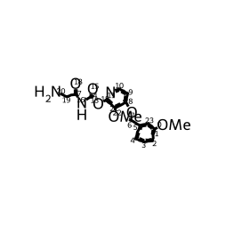 COc1cccc(COc2ccnc(OC(=O)NC(=O)CN)c2OC)c1